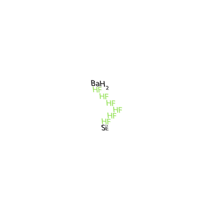 F.F.F.F.F.F.[BaH2].[Si]